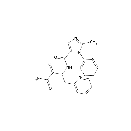 Cc1ncc(C(=O)NC(Cc2ccccn2)C(=O)C(N)=O)n1-c1ccccn1